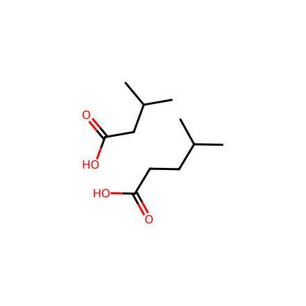 CC(C)CC(=O)O.CC(C)CCC(=O)O